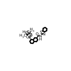 CC1(C)OB(c2cccc3ccc(C(=O)Nc4nc5ccccc5s4)cc23)OC1(C)C